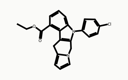 CCOC(=O)c1cccc2c1c1c(n2-c2ccc(Cl)cc2)Cn2cccc2C1